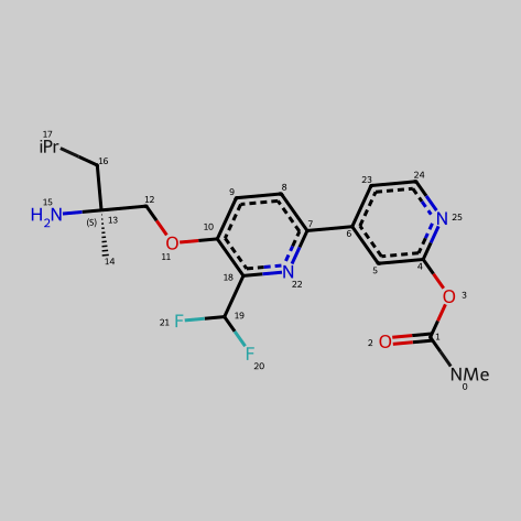 CNC(=O)Oc1cc(-c2ccc(OC[C@@](C)(N)CC(C)C)c(C(F)F)n2)ccn1